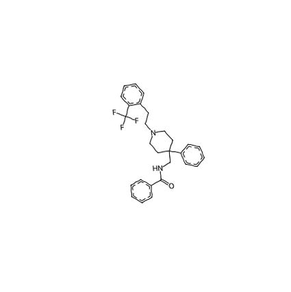 O=C(NCC1(c2ccccc2)CCN(CCc2ccccc2C(F)(F)F)CC1)c1ccccc1